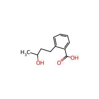 CC(O)CCc1ccccc1C(=O)O